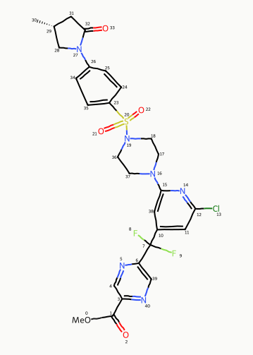 COC(=O)c1cnc(C(F)(F)c2cc(Cl)nc(N3CCN(S(=O)(=O)c4ccc(N5C[C@H](C)CC5=O)cc4)CC3)c2)cn1